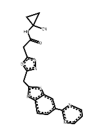 N#CC1(NC(=O)Cc2nnc(Cc3nc4ccc(-c5ncccn5)cc4s3)o2)CC1